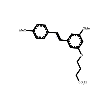 CCOC(=O)CCCOc1cc(/C=C/c2ccc(OC)cc2)cc(OC)c1